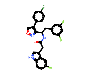 O=C(Cc1c[nH]c2ccc(F)cc12)NC(Cc1cc(F)cc(F)c1)c1nocc1-c1ccc(Cl)cc1